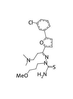 COCCCN(/N=C(\CCN(C)C)c1ccc(-c2cccc(Cl)c2)o1)C(N)=S